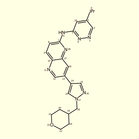 CC(C)c1cnnc(Nc2ccc3ncc(-c4cnn(CC5CCOCC5)c4)cc3n2)c1